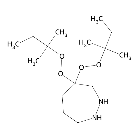 CCC(C)(C)OOC1(OOC(C)(C)CC)CCCNNC1